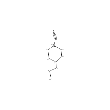 [CH2]CCC1CCN(C#N)CC1